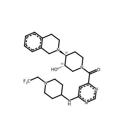 O=C(c1cc(NC2CCN(CC(F)(F)F)CC2)ncn1)N1CC[C@H](N2CCc3ccccc3C2)[C@@H](O)C1